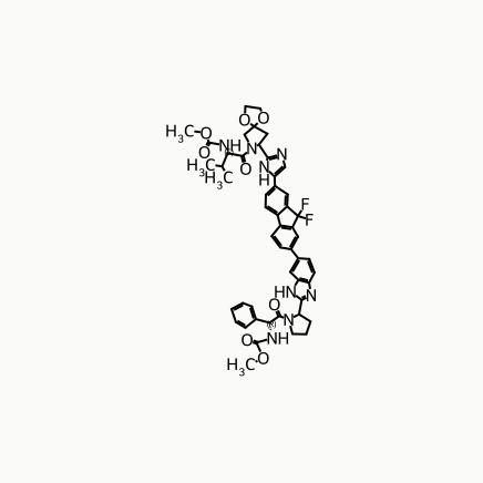 COC(=O)N[C@H](C(=O)N1CC2(CC1c1ncc(-c3ccc4c(c3)C(F)(F)c3cc(-c5ccc6nc(C7CCCN7C(=O)[C@H](NC(=O)OC)c7ccccc7)[nH]c6c5)ccc3-4)[nH]1)OCCO2)C(C)C